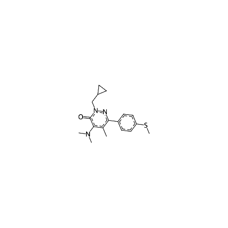 CSc1ccc(-c2nn(CC3CC3)c(=O)c(N(C)C)c2C)cc1